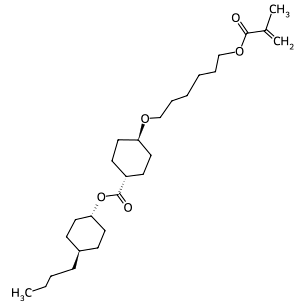 C=C(C)C(=O)OCCCCCCO[C@H]1CC[C@H](C(=O)O[C@H]2CC[C@H](CCCC)CC2)CC1